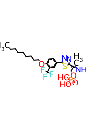 CCCCCCCCCOc1ccc(-c2nnc([C@@](C)(N)COP(=O)(O)O)s2)cc1C(F)(F)F